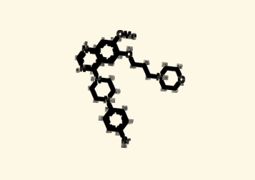 COc1cc2ncnc(N3CCN(c4ccc(Br)cc4)CC3)c2cc1OCCCN1CCOCC1